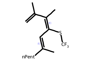 C=C(C)/C(C)=C(\C=C(/C)CCCCC)SC(F)(F)F